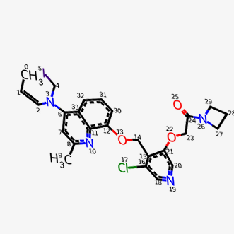 C/C=C\N(CI)c1cc(C)nc2c(OCc3c(Cl)cncc3OCC(=O)N3CCC3)cccc12